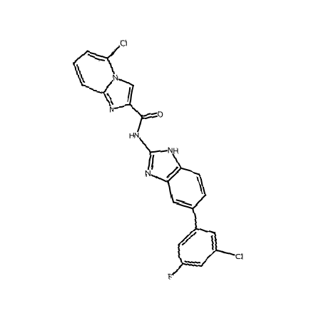 O=C(Nc1nc2cc(-c3cc(F)cc(Cl)c3)ccc2[nH]1)c1cn2c(Cl)cccc2n1